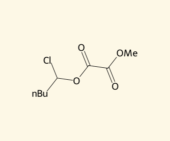 CCCCC(Cl)OC(=O)C(=O)OC